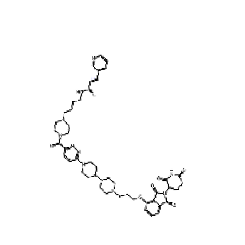 O=C(/C=C/c1cccnc1)NCCCCC1CCN(C(=O)c2ccc(N3CCC(N4CCN(CCCSc5cccc6c5C(=O)N(C5CCC(=O)NC5=O)C6=O)CC4)CC3)nn2)CC1